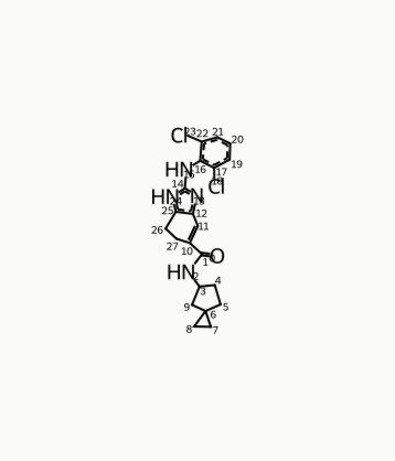 O=C(NC1CCC2(CC2)C1)C1=Cc2nc(Nc3c(Cl)cccc3Cl)[nH]c2CC1